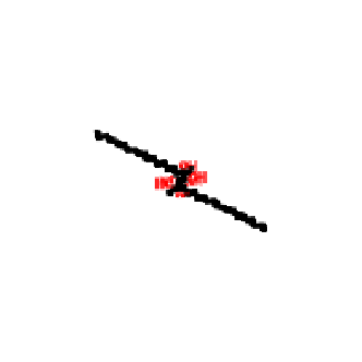 CCCCCCCCCCCCCCCCCC[C@@](O)(C(C)O)[C@@H](O)[C@H](O)[C@@](O)(CCCCCCCCCCCCCCCCCC)C(C)O